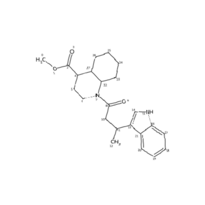 COC(=O)C1CCN(C(=O)CC(C)c2c[nH]c3ccccc23)C2CCCCC12